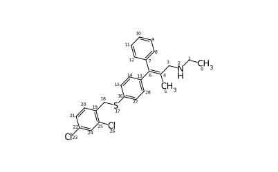 CCNCC(C)=C(c1ccccc1)c1ccc(SCc2ccc(Cl)cc2Cl)cc1